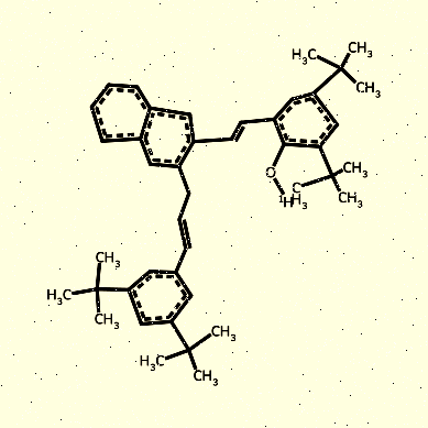 [1H]Oc1c(/C=C/c2cc3ccccc3cc2C/C=C/c2cc(C(C)(C)C)cc(C(C)(C)C)c2)cc(C(C)(C)C)cc1C(C)(C)C